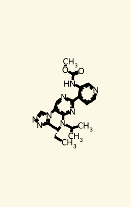 CC[C@@H]1c2nncn2-c2cnc(-c3ccncc3NC(=O)OC)nc2N1C(C)C